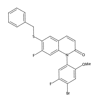 COc1cc(Br)c(F)cc1-n1c(=O)ccc2cc(SCc3ccccc3)c(F)cc21